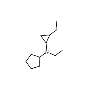 CCC1CC1N(CC)C1CCCC1